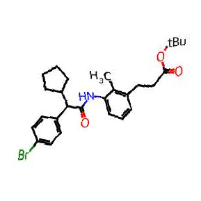 Cc1c(CCC(=O)OC(C)(C)C)cccc1NC(=O)C(c1ccc(Br)cc1)C1CCCC1